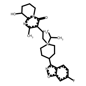 Cc1nc2n(c(=O)c1CC[N+]1(C(C)C)CCC(c3noc4cc(F)ccc34)CC1)CCCC2O